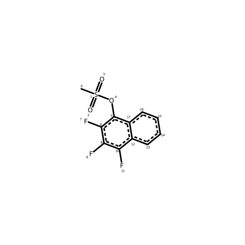 CS(=O)(=O)Oc1c(F)c(F)c(F)c2ccccc12